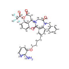 Nc1ncccc1OCCCCc1ccc2c(c1)C(=O)N(C(CC(=O)OC(=O)C(F)(F)F)c1ccccc1)CC(=O)N2Cc1ccccc1